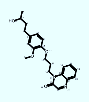 COc1cc(CCC(C)O)ccc1OCCCn1c(=O)cnc2ccccc21